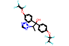 CC(n1ncnn1)C(O)(c1ccc(OC(F)=C(F)F)cc1)c1ccc(OC(F)(F)C(F)F)cc1